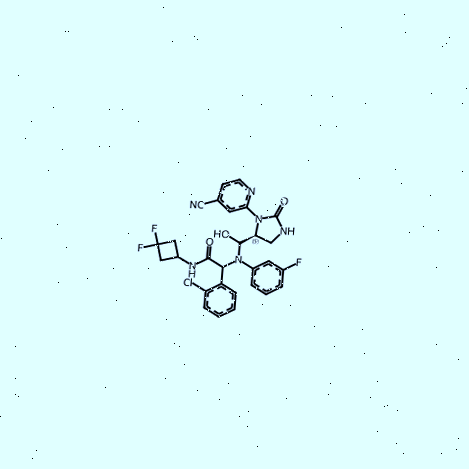 N#Cc1ccnc(N2C(=O)NC[C@H]2C(O)N(c2cccc(F)c2)C(C(=O)NC2CC(F)(F)C2)c2ccccc2Cl)c1